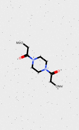 COCC(=O)N1CCN(C(=O)COC)CC1